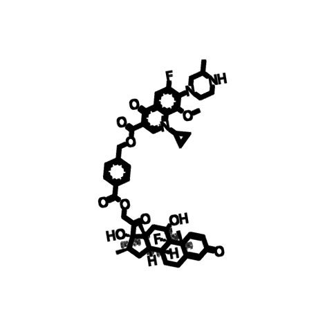 COc1c(N2CCNC(C)C2)c(F)cc2c(=O)c(C(=O)OCc3ccc(C(=O)OCC(=O)[C@]4(O)[C@H](C)C[C@@H]5[C@H]6CCC7=CC(=O)C=C[C@@]7(C)[C@]6(F)[C@H](O)C[C@]54C)cc3)cn(C3CC3)c12